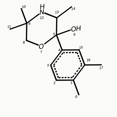 Cc1ccc(C2(O)OCC(C)(C)NC2C)cc1C